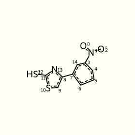 O=[N+]([O-])c1cccc(-c2csc(S)n2)c1